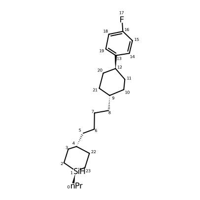 CCC[Si@H]1CC[C@H](CCCC[C@H]2CC[C@H](c3ccc(F)cc3)CC2)CC1